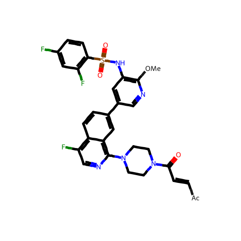 COc1ncc(-c2ccc3c(F)cnc(N4CCN(C(=O)C=CC(C)=O)CC4)c3c2)cc1NS(=O)(=O)c1ccc(F)cc1F